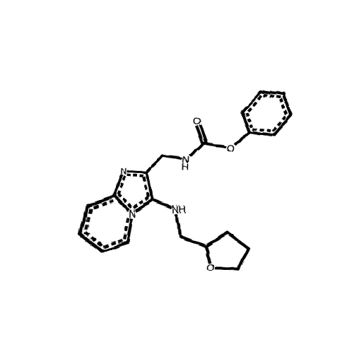 O=C(NCc1nc2ccccn2c1NCC1CCCO1)Oc1ccccc1